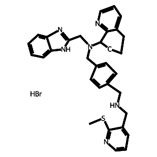 Br.CSc1ncccc1CNCc1ccc(CN(Cc2nc3ccccc3[nH]2)C2CCCc3cccnc32)cc1